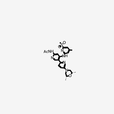 CC(=O)Nc1cc(Nc2cc(C)cc(S(C)(=O)=O)n2)c(-c2ccc(N3C[C@@H](C)O[C@@H](C)C3)cn2)cn1